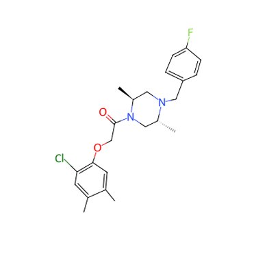 Cc1cc(Cl)c(OCC(=O)N2C[C@@H](C)N(Cc3ccc(F)cc3)C[C@@H]2C)cc1C